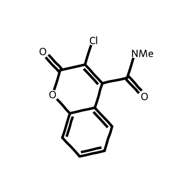 CNC(=O)c1c(Cl)c(=O)oc2ccccc12